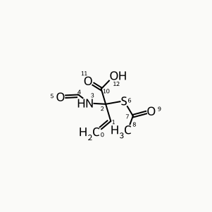 C=CC(NC=O)(SC(C)=O)C(=O)O